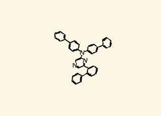 c1ccc(-c2ccc(N(c3ccc(-c4ccccc4)cc3)c3cncc(-c4ccccc4-c4ccccc4)n3)cc2)cc1